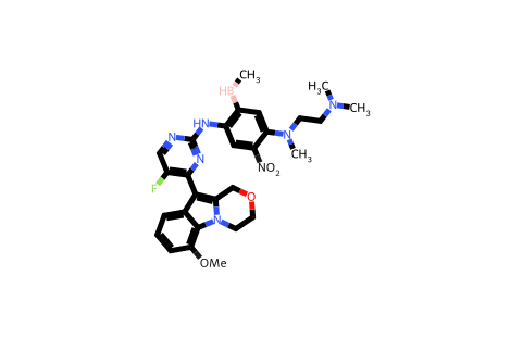 CBc1cc(N(C)CCN(C)C)c([N+](=O)[O-])cc1Nc1ncc(F)c(-c2c3n(c4c(OC)cccc24)CCOC3)n1